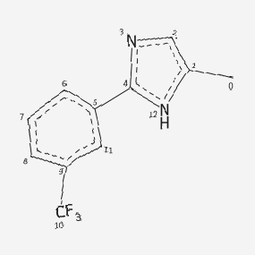 Cc1[c]nc(-c2cccc(C(F)(F)F)c2)[nH]1